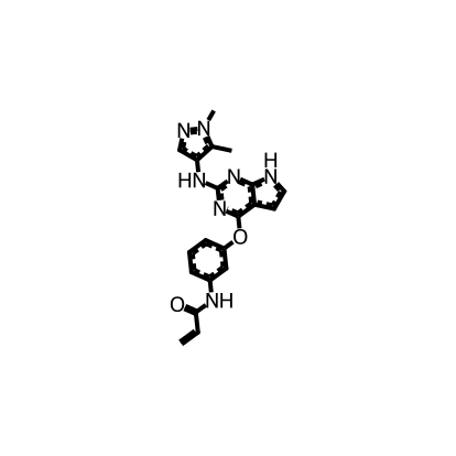 C=CC(=O)Nc1cccc(Oc2nc(Nc3cnn(C)c3C)nc3[nH]ccc23)c1